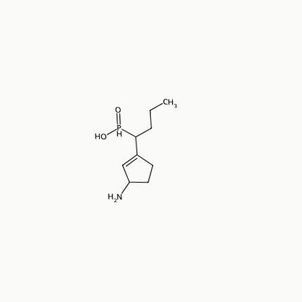 CCCC(C1=CC(N)CC1)[PH](=O)O